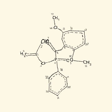 C=C(C)OP(=O)(C(=O)c1c(OC)cccc1OC)c1ccccc1